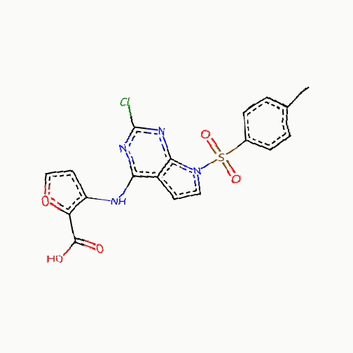 Cc1ccc(S(=O)(=O)n2ccc3c(Nc4ccoc4C(=O)O)nc(Cl)nc32)cc1